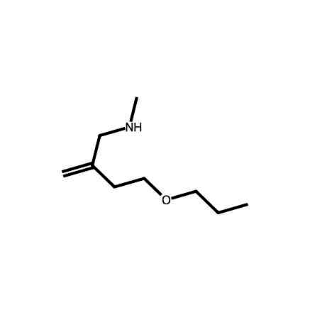 C=C(CCOCCC)CNC